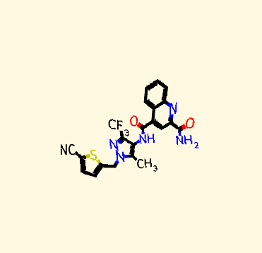 Cc1c(NC(=O)c2cc(C(N)=O)nc3ccccc23)c(C(F)(F)F)nn1Cc1ccc(C#N)s1